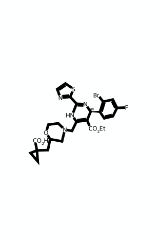 CCOC(=O)C1=C(CN2CCOC(CC3(C(=O)O)CC3)C2)NC(c2nccs2)=N[C@H]1c1ccc(F)cc1Br